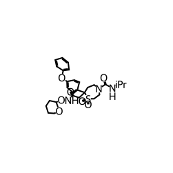 CC(C)NC(=O)N1CCC(CC(=O)NOC2CCCCO2)(c2ccc(Oc3ccccc3)cc2)S(=O)(=O)CC1